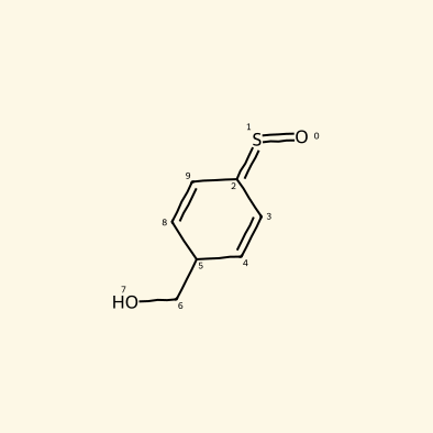 O=S=C1C=CC(CO)C=C1